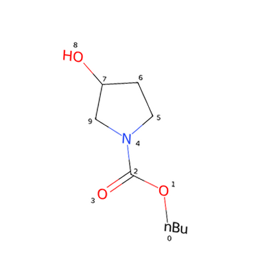 CCCCOC(=O)N1CCC(O)C1